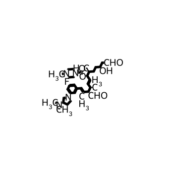 C/C(=C\c1cc(F)cc(N2CC[C@H](N(C)C)C2)c1)[C@@H](C=O)[C@@H](C)/C=C/[C@H](OC(=O)N1CCN(C)CC1)[C@@H](C)CC[C@@H](O)CC=O